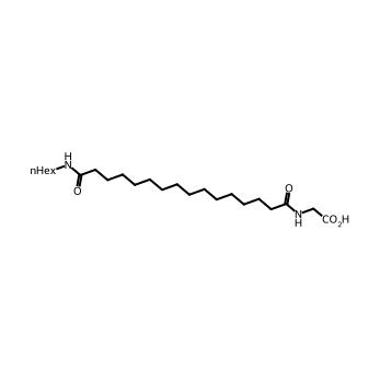 CCCCCCNC(=O)CCCCCCCCCCCCCCC(=O)NCC(=O)O